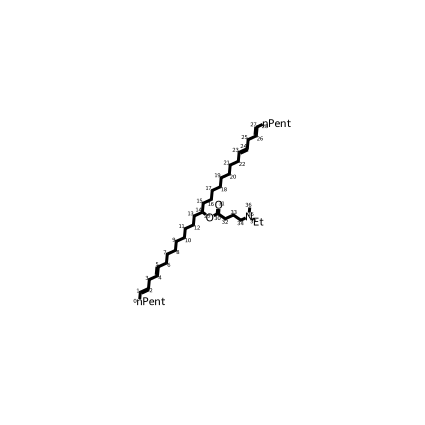 CCCCCC=CCC=CCCCCCCCCC(CCCCCCCCC=CCC=CCCCCC)OC(=O)CCCN(C)CC